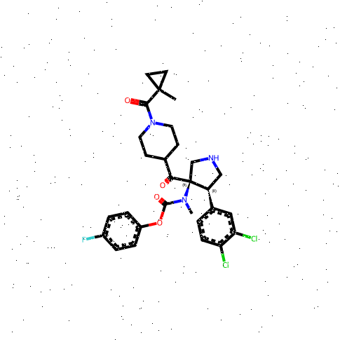 CN(C(=O)Oc1ccc(F)cc1)[C@@]1(C(=O)C2CCN(C(=O)C3(C)CC3)CC2)CNC[C@H]1c1ccc(Cl)c(Cl)c1